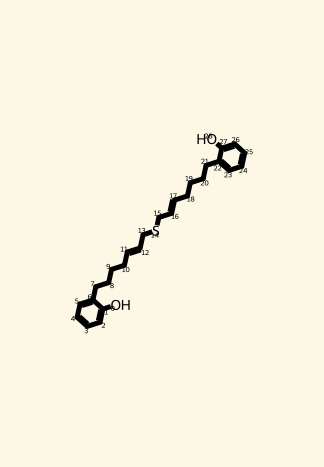 Oc1ccccc1CCCCC=CCSCC=CCCCCc1ccccc1O